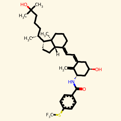 C=C1/C(=C\C=C2/CCC[C@]3(C)[C@@H]([C@H](C)CCCC(C)(C)O)CC[C@@H]23)C[C@@H](O)C[C@@H]1NC(=O)c1ccc(SC(F)(F)F)cc1